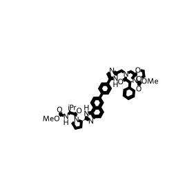 COC(=O)N[C@H](C(=O)N1CCC[C@H]1c1nc2ccc3cc(-c4ccc(-c5cnc(CN(CC6(C)OCCO6)C(=O)[C@H](NC(=O)OC)C6C=CC=CC6)[nH]5)cc4)ccc3c2[nH]1)C(C)C